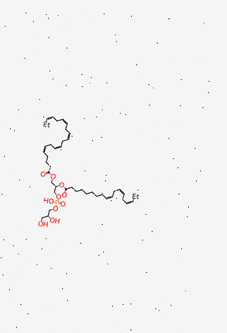 CC/C=C\C/C=C\C/C=C\C/C=C\C/C=C\CCCC(=O)OC[C@H](COP(=O)(O)OC[C@@H](O)CO)OC(=O)CCCCCCC/C=C\C/C=C\C/C=C\CC